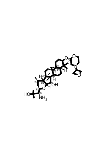 C[C@@H]1C[C@H]([C@H](N)C(C)(C)O)O[C@H]2[C@H]1[C@@]1(C)CC[C@@]34C[C@@]35CCC(O[C@H]3CN(C6COC6)CCO3)C(C)(C)[C@@H]5CC[C@H]4[C@]1(C)[C@H]2O